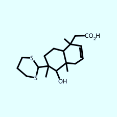 CC1(CC(=O)O)C=CCC2(C)C1CCC(C)(C1SCCCS1)C2O